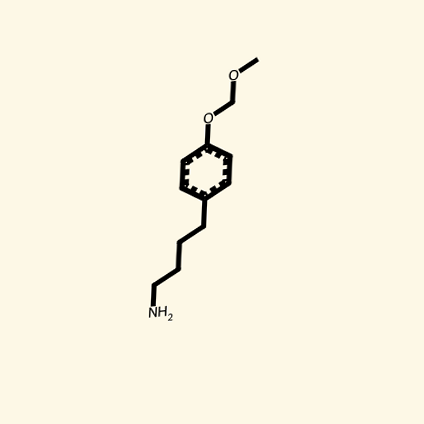 COCOc1ccc(CCCCN)cc1